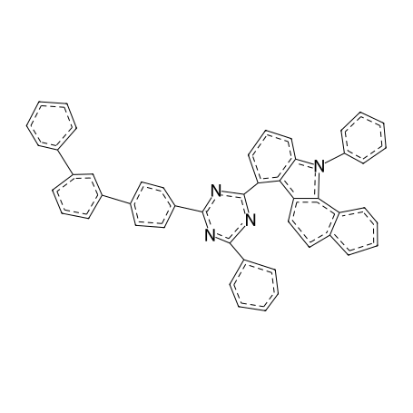 c1ccc(-c2cccc(-c3ccc(-c4nc(-c5ccccc5)nc(-c5cccc6c5c5ccc7ccccc7c5n6-c5ccccc5)n4)cc3)c2)cc1